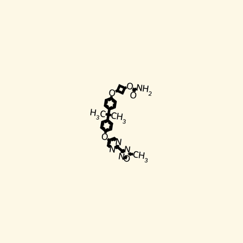 Cc1nc(-c2ncc(Oc3ccc(C(C)(C)c4ccc(OC5CC(OC(N)=O)C5)cc4)cc3)cn2)no1